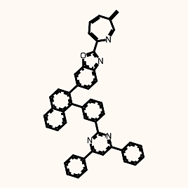 C=C1C=CC=C(c2nc3ccc(-c4ccc5ccccc5c4-c4cccc(-c5nc(-c6ccccc6)cc(-c6ccccc6)n5)c4)cc3o2)N=C1